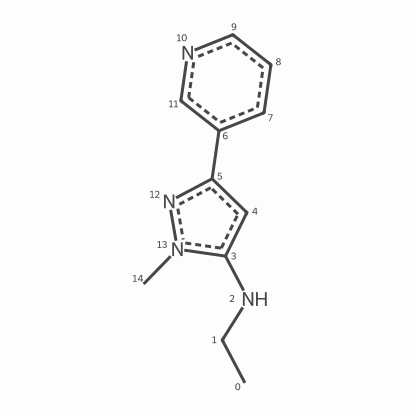 CCNc1cc(-c2cccnc2)nn1C